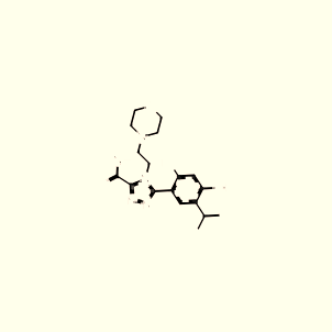 CC(C)c1cc(-c2nnc(C(N)=O)n2CCN2CCOCC2)c(O)cc1O